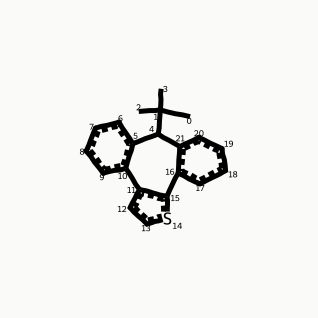 CC(C)(C)C1c2ccccc2-c2ccsc2-c2ccccc21